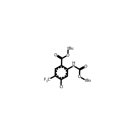 CC(C)(C)OC(=O)Nc1cc(Cl)c(C(F)(F)F)cc1C(=O)OC(C)(C)C